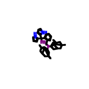 CC12CC3CC(C)(C1)CC(P(Cc1ccccc1C(P)(c1ccc[nH]1)c1ccc[nH]1)C14CC5CC(C)(CC(C)(C5)C1)C4)(C3)C2